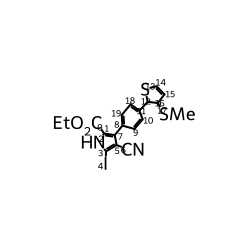 CCOC(=O)c1[nH]c(I)c(C#N)c1-c1ccc(C2SC=CC2SC)cc1